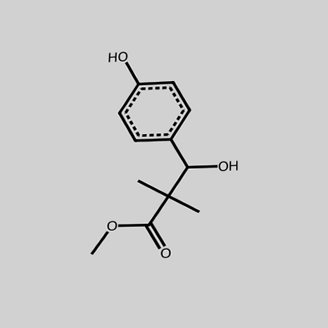 COC(=O)C(C)(C)C(O)c1ccc(O)cc1